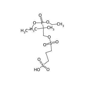 CCOP(=O)(OCC)C(C)(C)COS(=O)(=O)CCCS(=O)(=O)O